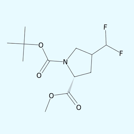 COC(=O)[C@H]1CC(C(F)F)CN1C(=O)OC(C)(C)C